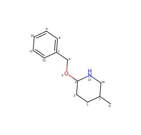 CC1CCC(OCc2ccccc2)NC1